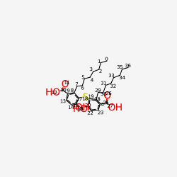 CCCCCCCCc1c(C(=O)O)ccc(O)c1Sc1c(O)ccc(C(=O)O)c1CCCCCCCC